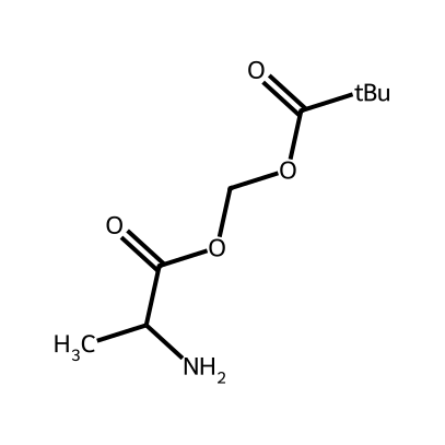 CC(N)C(=O)OCOC(=O)C(C)(C)C